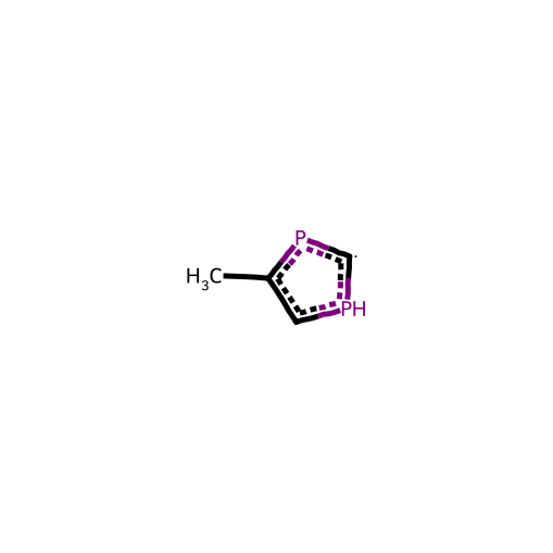 Cc1c[pH][c]p1